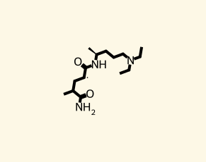 CCN(CC)CCC[C@H](C)NC(=O)[CH]CC(C)C(N)=O